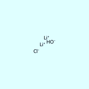 [Cl-].[Li+].[Li+].[OH-]